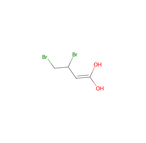 OC(O)=CC(Br)CBr